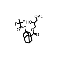 CC(=O)OCC(O)COC(=O)C12CC3CC(CC(OC(=O)C(C)(F)F)(C3)C1)C2